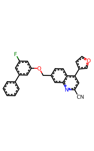 N#Cc1cc(-c2ccoc2)c2ccc(COc3cc(F)cc(-c4ccccc4)c3)cc2n1